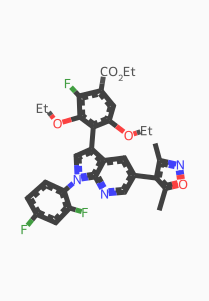 CCOC(=O)c1cc(OCC)c(-c2cn(-c3ccc(F)cc3F)c3ncc(-c4c(C)noc4C)cc23)c(OCC)c1F